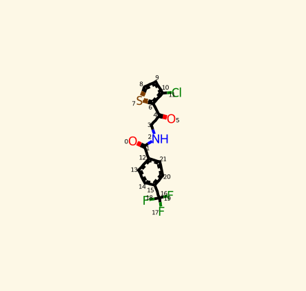 O=C(NCC(=O)c1sccc1Cl)c1ccc(C(F)(F)F)cc1